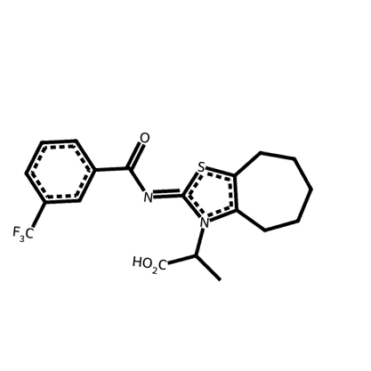 CC(C(=O)O)n1c2c(sc1=NC(=O)c1cccc(C(F)(F)F)c1)CCCCC2